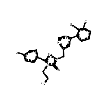 O=c1n(Cc2cc(-c3cccc(Cl)c3Cl)ncn2)nc(-c2ccc(Cl)cc2)n1CCC(F)(F)F